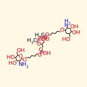 CP(O)OC(COP(O)OCCCCCOC1OC(CO)C(O)C(O)C1N)COP(C)(=O)OCCCCCOC1CC(CO)C(O)C(O)C1N